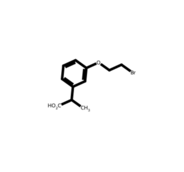 CC(C(=O)O)c1cccc(OCCBr)c1